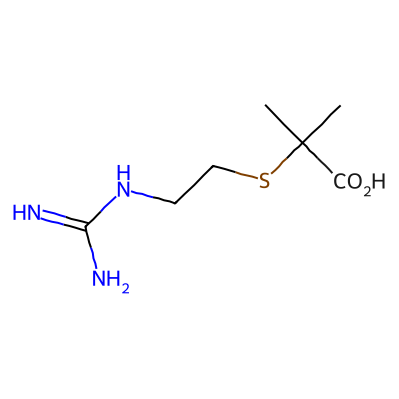 CC(C)(SCCNC(=N)N)C(=O)O